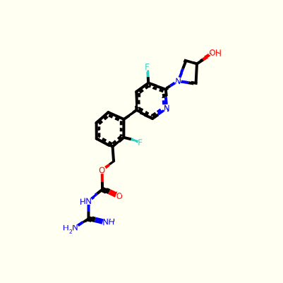 N=C(N)NC(=O)OCc1cccc(-c2cnc(N3CC(O)C3)c(F)c2)c1F